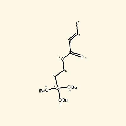 CC=CC(=O)OCC[Si](OCC(C)C)(OCC(C)C)OCC(C)C